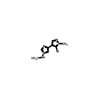 Cn1ncc(-c2cn(NC(=O)O)cn2)c1Br